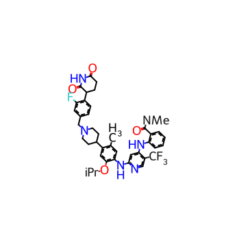 CNC(=O)c1ccccc1Nc1cc(Nc2cc(C)c(C3CCN(Cc4ccc(C5CCC(=O)NC5=O)c(F)c4)CC3)cc2OC(C)C)ncc1C(F)(F)F